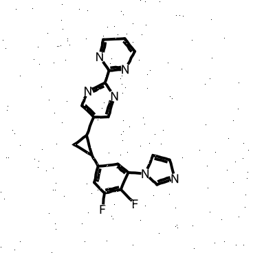 Fc1cc(C2CC2c2cnc(-c3ncccn3)nc2)cc(-n2ccnc2)c1F